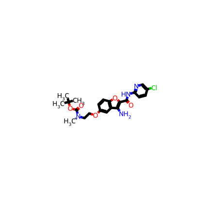 CN(CCOc1ccc2oc(C(=O)Nc3ccc(Cl)cn3)c(N)c2c1)C(=O)OC(C)(C)C